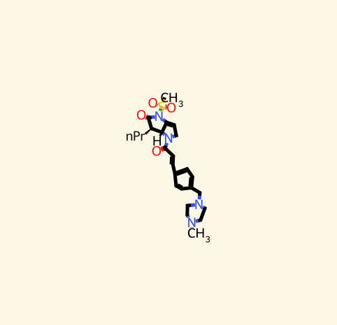 CCC[C@H]1C(=O)N(S(C)(=O)=O)C2=CCN(C(=O)C=Cc3ccc(CN4CCN(C)CC4)cc3)[C@@H]21